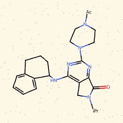 CC(=O)N1CCN(c2nc(NC3CCCc4ccccc43)c3c(n2)C(=O)N(C(C)C)C3)CC1